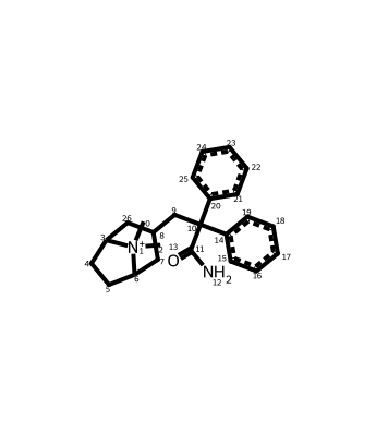 C[N+]1(C)C2CCC1CC(CC(C(N)=O)(c1ccccc1)c1ccccc1)C2